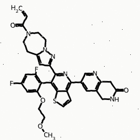 C=CC(=O)N1CCc2cc(-c3nc(-c4cnc5c(c4)CNC(=O)C5)c4ccsc4c3-c3c(F)cc(F)cc3OCCOC)nn2CC1